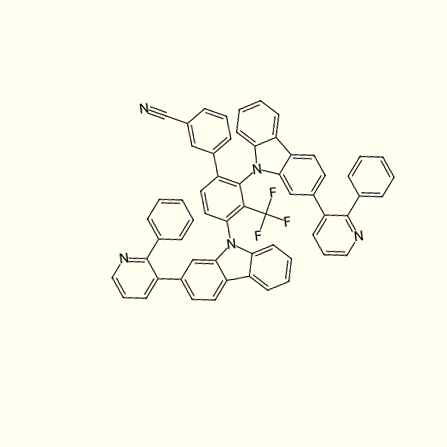 N#Cc1cccc(-c2ccc(-n3c4ccccc4c4ccc(-c5cccnc5-c5ccccc5)cc43)c(C(F)(F)F)c2-n2c3ccccc3c3ccc(-c4cccnc4-c4ccccc4)cc32)c1